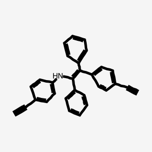 C#Cc1ccc(N/C(=C(\c2ccccc2)c2ccc(C#C)cc2)c2ccccc2)cc1